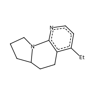 CCc1ccnc2c1CCC1CCCN21